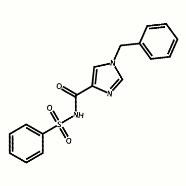 O=C(NS(=O)(=O)c1ccccc1)c1cn(Cc2ccccc2)cn1